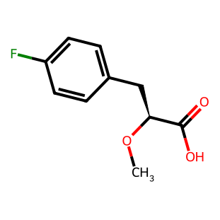 CO[C@@H](Cc1ccc(F)cc1)C(=O)O